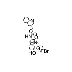 O=C(N[C@@H](Cc1ccc(O)cc1)C(=O)NC[C@@H]1CC(Br)=NO1)OCc1cnc2ccccc2c1